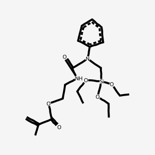 C=C(C)C(=O)OCCNC(=O)N(C[Si](OCC)(OCC)OCC)c1ccccc1